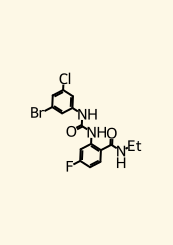 CCNC(=O)c1ccc(F)cc1NC(=O)Nc1cc(Cl)cc(Br)c1